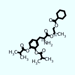 CC(C)C(=O)Oc1ccc(C[C@H](N)C(=O)O[C@@H](C)COC(=O)C2CCCCC2)cc1OC(=O)C(C)C